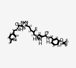 Cc1ccc(CNC(=O)c2nnc(CCC(F)CN3C=C(C(=O)NCc4cccc(OC(F)(F)F)c4)NN3)s2)cn1